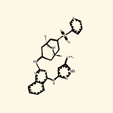 Cc1cc(Nc2nc(NC3C[C@H]4CC(S(=O)(=O)c5cccnc5)C[C@H](C3)N4)nc3ccccc23)n[nH]1